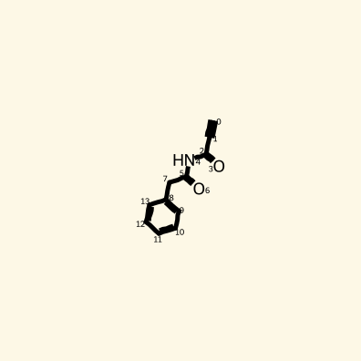 C#CC(=O)NC(=O)Cc1ccccc1